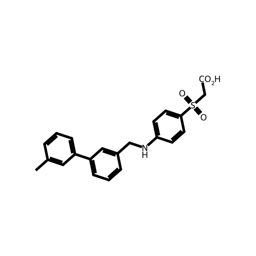 Cc1cccc(-c2cccc(CNc3ccc(S(=O)(=O)CC(=O)O)cc3)c2)c1